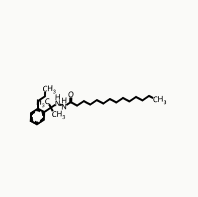 CCCCCCCCCCCCCC(=O)NNC(C)(C)c1ccccc1CCC